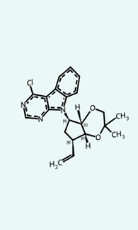 C=C[C@H]1C[C@@H](n2c3ccccc3c3c(Cl)ncnc32)[C@@H]2OCC(C)(C)O[C@@H]21